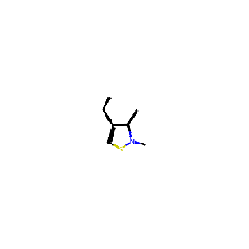 CCC1=CSN(C)C1C